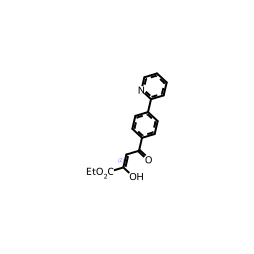 CCOC(=O)/C(O)=C/C(=O)c1ccc(-c2ccccn2)cc1